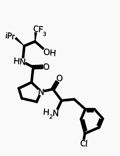 CC(C)[C@H](NC(=O)C1CCCN1C(=O)C(N)Cc1cccc(Cl)c1)[C@H](O)C(F)(F)F